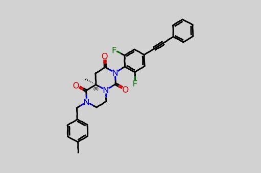 Cc1ccc(CN2CCN3C(=O)N(c4c(F)cc(C#Cc5ccccc5)cc4F)C(=O)C[C@]3(C)C2=O)cc1